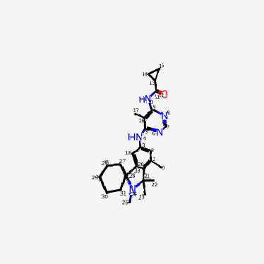 Cc1cc(Nc2ncnc(NC(=O)C3CC3)c2C)cc2c1C(C)(C)N(C)C21CCCCC1